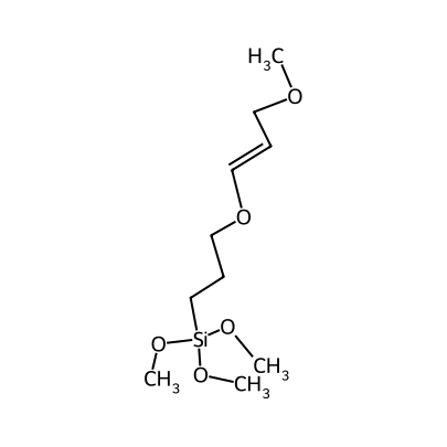 COCC=COCCC[Si](OC)(OC)OC